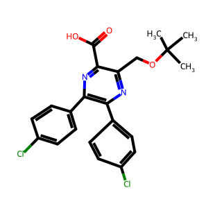 CC(C)(C)OCc1nc(-c2ccc(Cl)cc2)c(-c2ccc(Cl)cc2)nc1C(=O)O